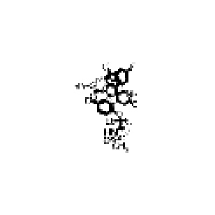 CCCOC(=O)N1C(=O)[C@]2(c3ccc(Cl)cc31)[C@@H](c1cc(Cl)ccc1OC(CC)(CC)C(=O)NS(C)(=O)=O)CC(=O)N[C@H]2c1cc(F)ccc1C